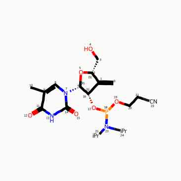 C=C1[C@@H](CO)O[C@@H](n2cc(C)c(=O)[nH]c2=O)[C@H]1OP(OCCC#N)N(C(C)C)C(C)C